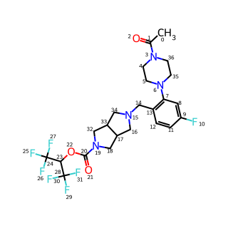 CC(=O)N1CCN(c2cc(F)ccc2CN2CC3CN(C(=O)OC(C(F)(F)F)C(F)(F)F)CC3C2)CC1